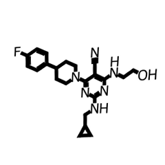 N#Cc1c(NCCO)nc(NCC2CC2)nc1N1CCC(c2ccc(F)cc2)CC1